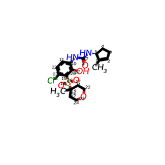 CC1=CCC[C@H]1NC(=O)Nc1ccc(Cl)c(S(=O)(=O)C2(C)CCOCC2)c1O